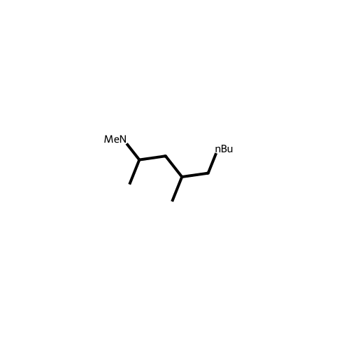 CCCCCC(C)CC(C)NC